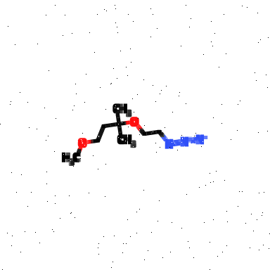 COCCC(C)(C)OCCN=[N+]=[N-]